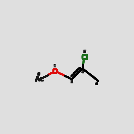 CC(=O)OC=C(C)Cl